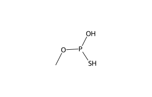 COP(O)S